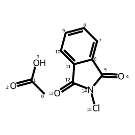 CC(=O)O.O=C1c2ccccc2C(=O)N1Cl